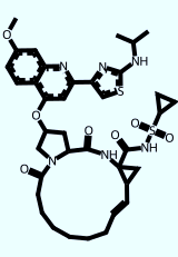 COc1ccc2c(OC3CC4C(=O)NC5(C(=O)NS(=O)(=O)C6CC6)CC5/C=C/CCCCCCC(=O)N4C3)cc(-c3csc(NC(C)C)n3)nc2c1